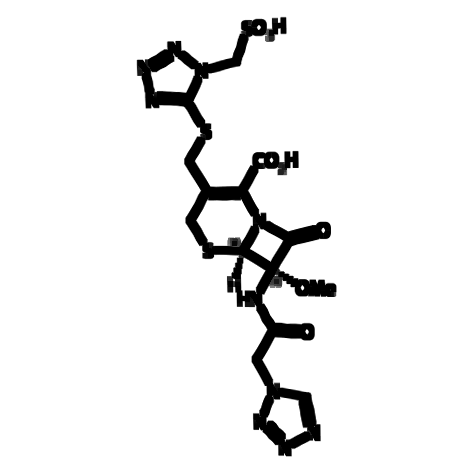 CO[C@@]1(NC(=O)Cn2cnnn2)C(=O)N2C(C(=O)O)=C(CSc3nnnn3CS(=O)(=O)O)CS[C@@H]21